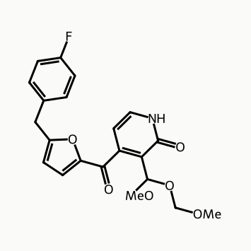 COCOC(OC)c1c(C(=O)c2ccc(Cc3ccc(F)cc3)o2)cc[nH]c1=O